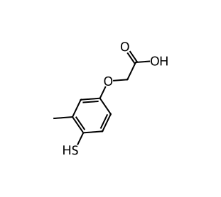 Cc1cc(OCC(=O)O)ccc1S